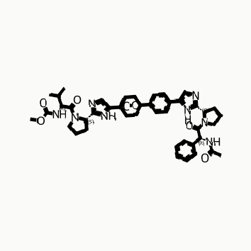 COC(=O)N[C@@H](C(=O)N1CCC[C@H]1c1ncc(C23CCC(c4ccc(-c5cnc([C@@H]6CCCN6C(=O)[C@H](NC(C)=O)c6ccccc6)[nH]5)cc4)(CC2)CC3)[nH]1)C(C)C